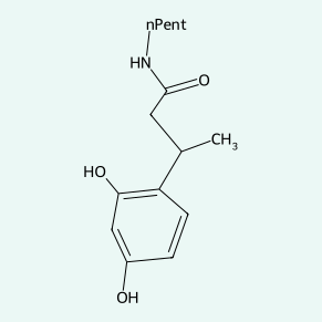 CCCCCNC(=O)CC(C)c1ccc(O)cc1O